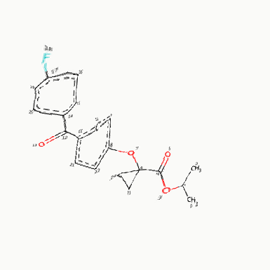 CC(C)OC(=O)C1(Oc2ccc(C(=O)c3ccc(F)cc3)cc2)CC1